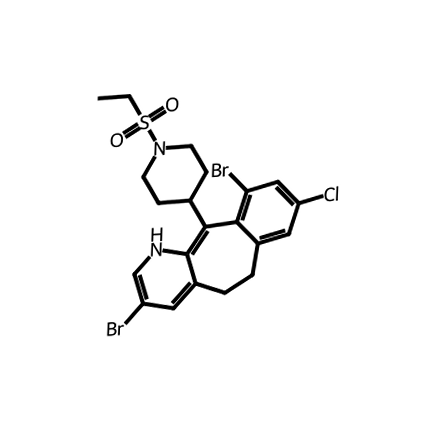 CCS(=O)(=O)N1CCC(C2=C3NC=C(Br)C=C3CCc3cc(Cl)cc(Br)c32)CC1